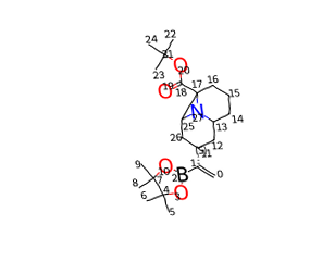 C=C(B1OC(C)(C)C(C)(C)O1)[C@H]1CC2CCCC3(C(=O)OC(C)(C)C)C(C1)N23